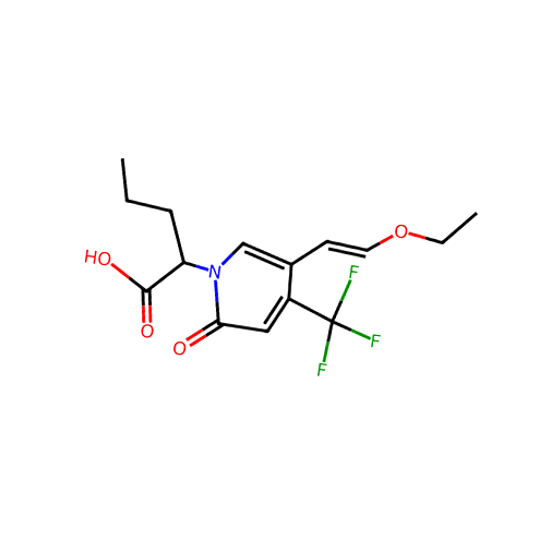 CCCC(C(=O)O)n1cc(/C=C/OCC)c(C(F)(F)F)cc1=O